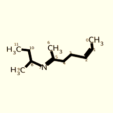 C/C=C\CC/C(C)=N/C(C)CC